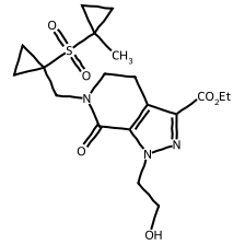 CCOC(=O)c1nn(CCO)c2c1CCN(CC1(S(=O)(=O)C3(C)CC3)CC1)C2=O